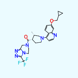 C[C@@H]1CN(c2ccnc3cc(OCC4CC4)ccc23)CC[C@@H]1C(=O)N1CCn2c(nnc2C(F)(F)F)C1